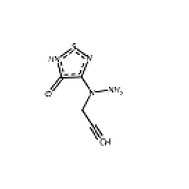 C#CCN(N)c1ns[nH]c1=O